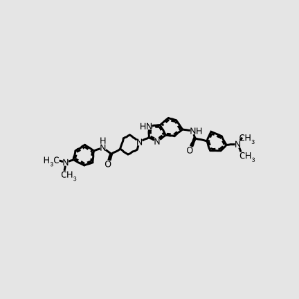 CN(C)c1ccc(NC(=O)C2CCN(c3nc4cc(NC(=O)c5ccc(N(C)C)cc5)ccc4[nH]3)CC2)cc1